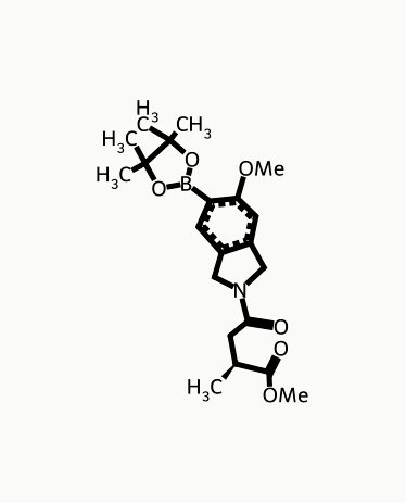 COC(=O)[C@@H](C)CC(=O)N1Cc2cc(OC)c(B3OC(C)(C)C(C)(C)O3)cc2C1